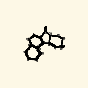 C1=C2c3c(cnc4ccccc34)NC2CCN1